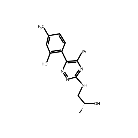 CC(C)c1nc(NC[C@@H](C)O)nnc1-c1ccc(C(F)(F)F)cc1O